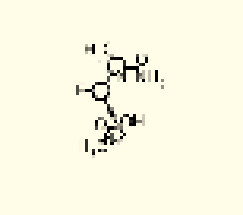 Cc1cc(C(N)=O)nc(-c2cc(F)cc(C#C[C@]3(O)CCN(C)C3=O)c2)c1